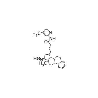 Cc1ccnc(NC(=O)CCC[C@@H]2C/C(=N\O)[C@@]3(C)CCC4c5ccccc5CCC4C23)c1